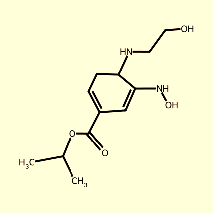 CC(C)OC(=O)C1=CCC(NCCO)C(NO)=C1